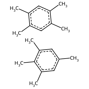 Cc1cc(C)c(C)c(C)c1.Cc1cc(C)c(C)cc1C